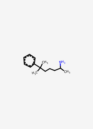 CC(N)CCCC(C)(C)c1ccccc1